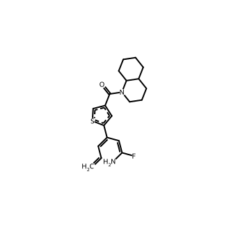 C=C/C=C(\C=C(/N)F)c1cc(C(=O)N2CCCC3CCCCC32)cs1